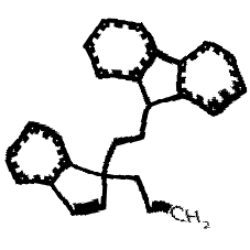 C=CCC1(CCC2c3ccccc3-c3ccccc32)C=Cc2ccccc21